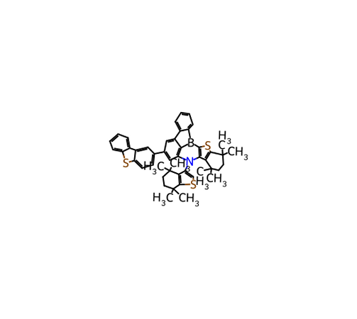 CC1(C)CCC(C)(C)c2c(N3c4cc(-c5ccc6sc7ccccc7c6c5)cc5c4B(c4ccccc4-5)c4sc5c(c43)C(C)(C)CCC5(C)C)csc21